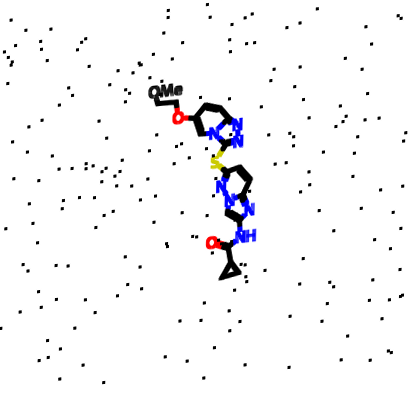 COCCOc1ccc2nnc(Sc3ccc4nc(NC(=O)C5CC5)cn4n3)n2c1